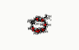 C[C@H](CSCC1O[C@@H]2O[C@@H]3C(CO)OC(O[C@@H]4C(CO)O[C@@H](O[C@H]5C(CSC[C@@H](N)C(=O)O)O[C@@H](O[C@@H]6C(CO)O[C@H](O[C@@H]7C(CO)O[C@H](O[C@@H]8C(CO)O[C@H](O[C@H]1[C@H](O)C2O)C(O)[C@H]8O)[C@@H](O)C7O)[C@@H](O)C6O)[C@@H](O)C5O)[C@@H](O)C4O)C(O)[C@H]3O)C(=O)O